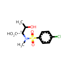 CC(O)[C@@H](C(=O)O)N(C)S(=O)(=O)c1ccc(Cl)cc1